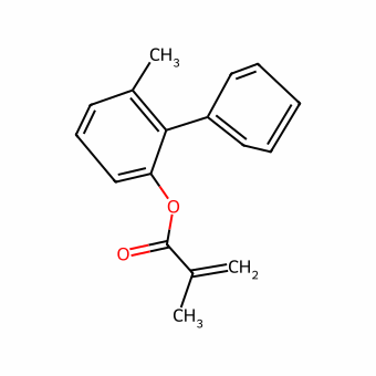 C=C(C)C(=O)Oc1cccc(C)c1-c1ccccc1